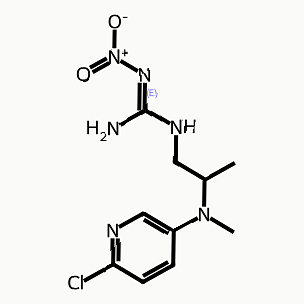 CC(CN/C(N)=N/[N+](=O)[O-])N(C)c1ccc(Cl)nc1